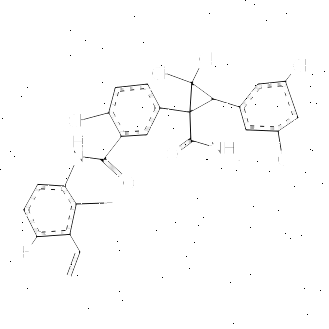 C=Cc1c(F)ccc(NC(=O)c2cc(C3(C(N)=O)C(c4cc(Cl)cc(Cl)c4)C3(Cl)Cl)ccc2Cl)c1F